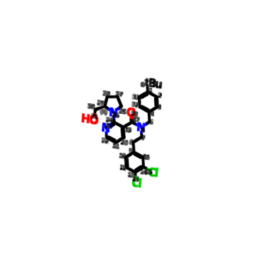 CC(C)(C)c1ccc(CN(CCc2ccc(Cl)c(Cl)c2)C(=O)c2cccnc2N2CCC[C@@H]2CO)cc1